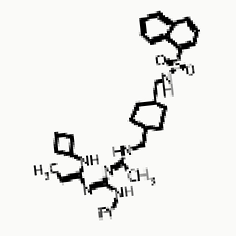 CC=C(/N=C(\N=C(/C)NCC1CCC(CNS(=O)(=O)c2cccc3ccccc23)CC1)NC(C)C)NC1CCC1